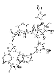 CCn1c(-c2cccnc2[C@H](C)OC)c2c3cc(ccc31)-c1cc(O)cc(c1)C[C@H](NC(=O)[C@H](C(C)C)N(C)C(=O)C1CC(O)C1)C(=O)N1CCC[C@H](N1)C(=O)OCC(C)(C)C2